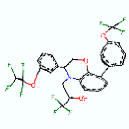 OC(CN1c2cccc(-c3cccc(OC(F)(F)F)c3)c2OCC1c1cccc(OC(F)(F)C(F)F)c1)C(F)(F)F